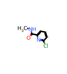 CNC(=O)c1cc[c]c(Cl)n1